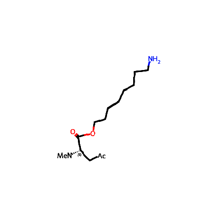 CN[C@@H](CC(C)=O)C(=O)OCCCCCCCCN